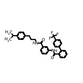 CC(C)c1ccc(CCCNC(=O)c2cccc(NC(=O)c3ccccc3-c3ccc(C(F)(F)F)cc3)c2)cc1